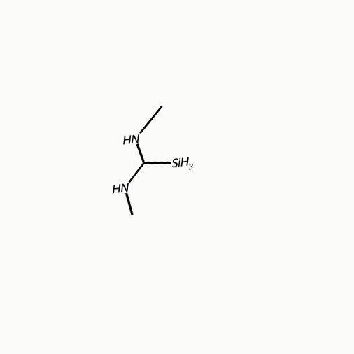 CNC([SiH3])NC